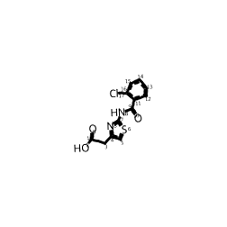 O=C(O)Cc1csc(NC(=O)c2ccccc2Cl)n1